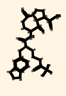 CC(C)(C)C(=O)OCS[C@@H](Cc1ccc2c(c1)OCO2)C(=O)NC1CCC(=O)N2CCC(C(=O)O)N2C1=O